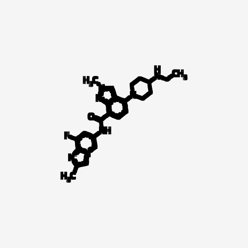 CCNC1CCN(c2ccc(C(=O)Nc3cc(F)c4nc(C)cn4c3)c3nn(C)cc23)CC1